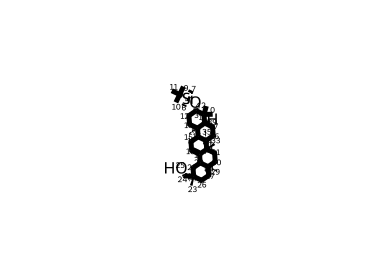 CC1(C)C(O[Si](C)(C)C(C)(C)C)CC[C@]2(C)C3CC=C4C5C[C@@](C)(CO)CC[C@]5(C)CC[C@@]4(C)[C@]3(C)CC[C@@H]12